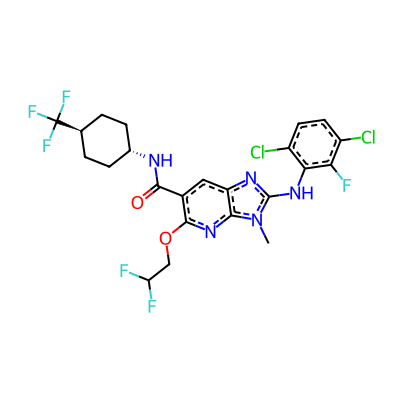 Cn1c(Nc2c(Cl)ccc(Cl)c2F)nc2cc(C(=O)N[C@H]3CC[C@H](C(F)(F)F)CC3)c(OCC(F)F)nc21